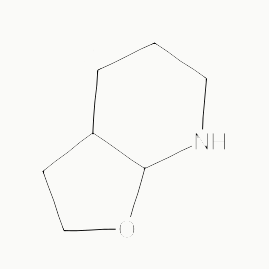 C[C@@H]1CCNC2OCCC21